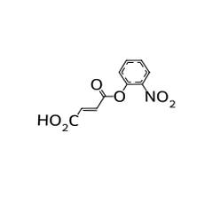 O=C(O)C=CC(=O)Oc1ccccc1[N+](=O)[O-]